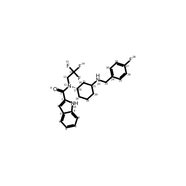 O=C(c1cc2ccccc2[nH]1)N(CC(F)(F)F)[C@H]1CCCC(NCc2ccc(F)cc2)C1